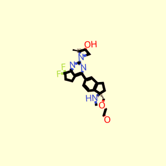 CN[C@]1(COCC=O)CCc2cc(-c3nc(N4CC(O)[C@@H]4C)nc4c3CCC4(F)F)ccc21